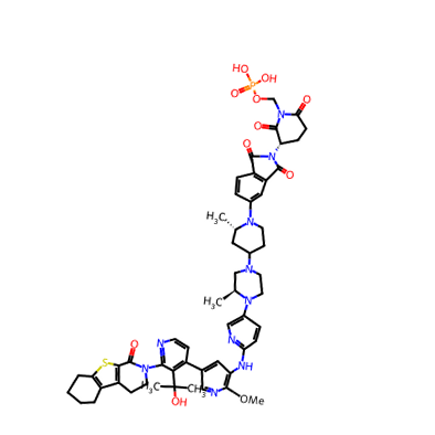 COc1ncc(-c2ccnc(N3CCc4c(sc5c4CCCC5)C3=O)c2C(C)(C)O)cc1Nc1ccc(N2CCN(C3CCN(c4ccc5c(c4)C(=O)N([C@H]4CCC(=O)N(COP(=O)(O)O)C4=O)C5=O)[C@@H](C)C3)C[C@@H]2C)cn1